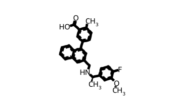 COc1cc([C@@H](C)NCc2cc(-c3ccc(C)c(C(=O)O)c3)c3ccccc3c2)ccc1F